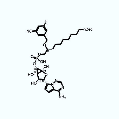 CCCCCCCCCCCCCCCCCC[C@H](COP(=O)(O)O[C@H]1[C@]2(O)[C@@H](O)[C@@H](c3ccc4c(N)ncnn34)O[C@]12C#N)OCc1cc(F)cc(C#N)c1